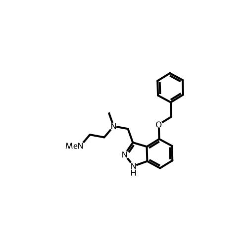 CNCCN(C)Cc1n[nH]c2cccc(OCc3ccccc3)c12